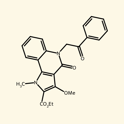 CCOC(=O)c1c(OC)c2c(=O)n(CC(=O)c3ccccc3)c3ccccc3c2n1C